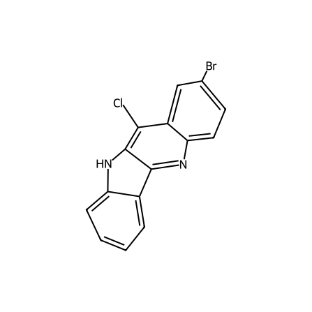 Clc1c2cc(Br)ccc2nc2c1[nH]c1ccccc12